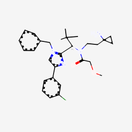 COCC(=O)N(CCC1(N)CC1)[C@@H](c1nc(-c2cccc(F)c2)cn1Cc1ccccc1)C(C)(C)C